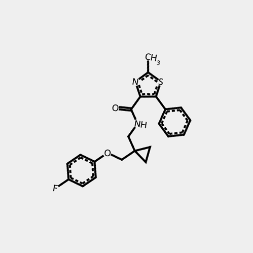 Cc1nc(C(=O)NCC2(COc3ccc(F)cc3)CC2)c(-c2ccccc2)s1